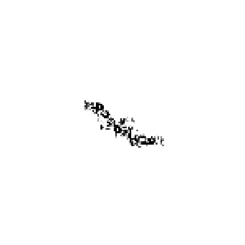 C=CC(=O)Nc1cc(Nc2nc(-c3ccnc(N4CCn5c(cc6c5CC(C)(C)C6)C4=O)c3CO)cn(C)c2=O)ccc1N1CCN(C2CCN(c3ccc(Cl)c(C(C)(C)NP(=O)(O)O)c3)[C@H](C)C2)C[C@@H]1C